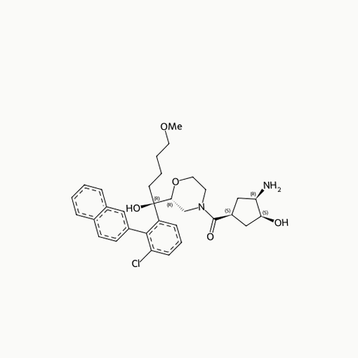 COCCCC[C@@](O)(c1cccc(Cl)c1-c1ccc2ccccc2c1)[C@H]1CN(C(=O)[C@H]2C[C@@H](N)[C@@H](O)C2)CCO1